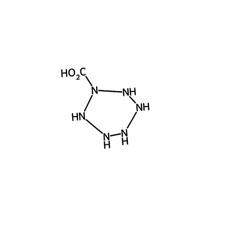 O=C(O)N1NNNNN1